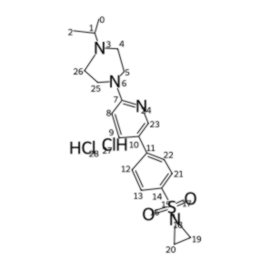 CC(C)N1CCN(c2ccc(-c3ccc(S(=O)(=O)N4CC4)cc3)cn2)CC1.Cl.Cl